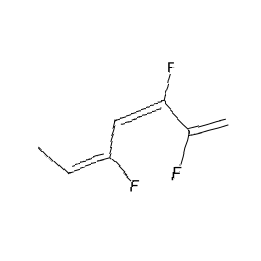 C=C(F)/C(F)=C\C(F)=C/C